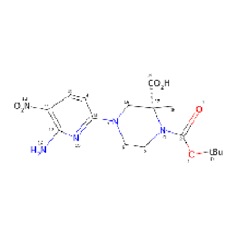 CC(C)(C)OC(=O)N1CCN(c2ccc([N+](=O)[O-])c(N)n2)C[C@]1(C)C(=O)O